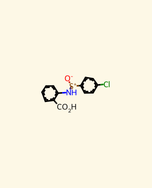 O=C(O)c1ccccc1N[S+]([O-])c1ccc(Cl)cc1